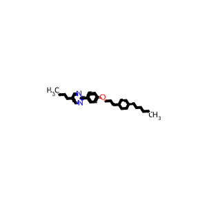 CCCCCCC1CCC(CCCOc2ccc(-c3ncc(CCCC)cn3)cc2)CC1